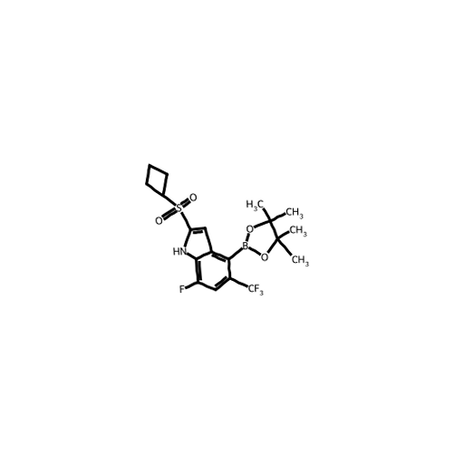 CC1(C)OB(c2c(C(F)(F)F)cc(F)c3[nH]c(S(=O)(=O)C4CCC4)cc23)OC1(C)C